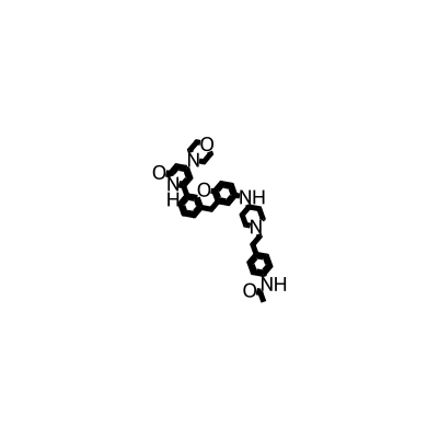 CC(=O)Nc1ccc(CCN2CCC(Nc3ccc4c(c3)Cc3cccc(-c5cc(N6CCOCC6)cc(=O)[nH]5)c3O4)CC2)cc1